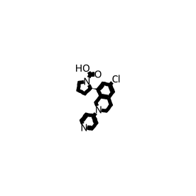 O=C(O)N1CCC[C@H]1c1cc(Cl)cc2c1CN(c1ccncc1)CC2